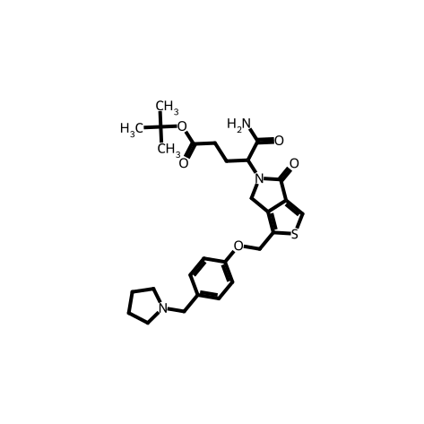 CC(C)(C)OC(=O)CCC(C(N)=O)N1Cc2c(csc2COc2ccc(CN3CCCC3)cc2)C1=O